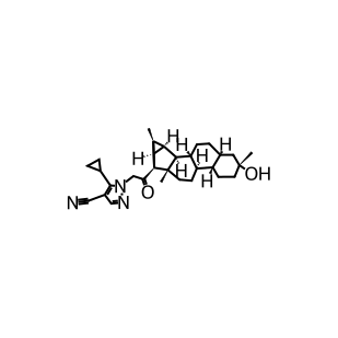 C[C@@]1(O)CC[C@H]2[C@H](CC[C@@H]3[C@@H]2CC[C@@]2(C)[C@H]3[C@H]3[C@@H]4[C@@]3(C)[C@@]42C(=O)Cn2ncc(C#N)c2C2CC2)C1